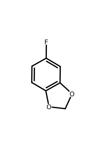 Fc1ccc2c(c1)OCO2